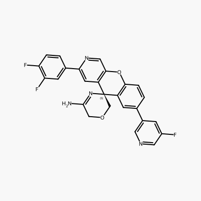 NC1=N[C@@]2(COC1)c1cc(-c3cncc(F)c3)ccc1Oc1cnc(-c3ccc(F)c(F)c3)cc12